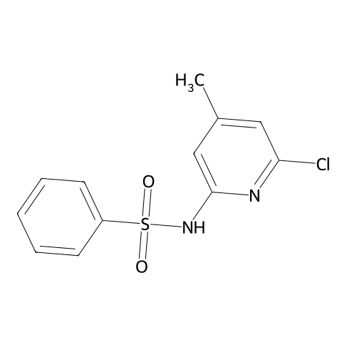 Cc1cc(Cl)nc(NS(=O)(=O)c2ccccc2)c1